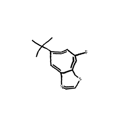 CC(C)(C)c1cc(F)c2scnc2c1